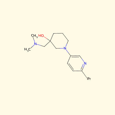 CC(C)c1ccc(N2CCCC(O)(CN(C)C)C2)cn1